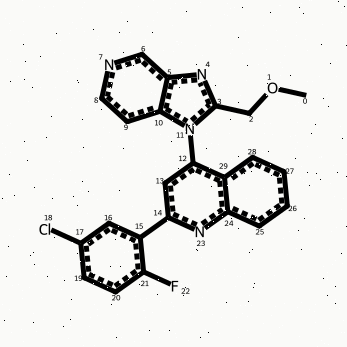 COCc1nc2cnccc2n1-c1cc(-c2cc(Cl)ccc2F)nc2ccccc12